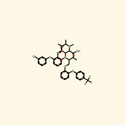 CCN(C(COc1ccccc1Sc1ccc(C(F)(F)F)cc1)C(C)C)C(C(=O)O)C(C(=O)O)N(C)C(C)C(C)COc1ccccc1Sc1cccc(Cl)c1